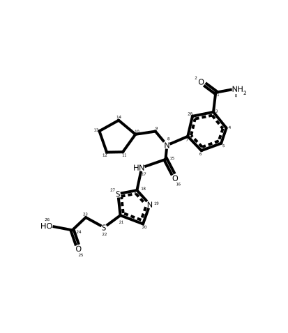 NC(=O)c1cccc(N(CC2CCCC2)C(=O)Nc2ncc(SCC(=O)O)s2)c1